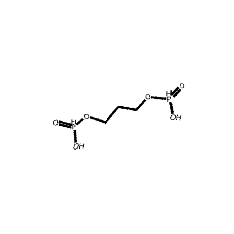 O=[PH](O)OCCCO[PH](=O)O